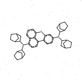 c1cc2c3c(ccc(B(C4CC5CCC4C5)C4CC5CCC4C5)c3c1)-c1ccc(B(C3CC4CCC3C4)C3CC4CCC3C4)cc1S2